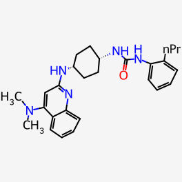 CCCc1ccccc1NC(=O)N[C@H]1CC[C@@H](Nc2cc(N(C)C)c3ccccc3n2)CC1